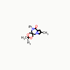 Cc1cc2n(c1)CC1(COC(C)(C)OC1)CN(C(C)C)C2=O